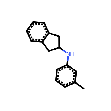 Cc1cccc(NC2Cc3ccccc3C2)c1